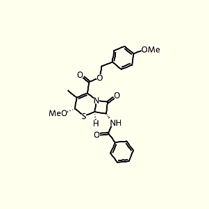 COc1ccc(COC(=O)C2=C(C)[C@@H](OC)S[C@@H]3[C@@H](NC(=O)c4ccccc4)C(=O)N23)cc1